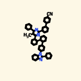 Cc1c(-c2ccccc2)nc(-c2cccc(-c3ccc(C#N)cc3)c2)nc1-c1ccccc1-c1ccccc1-c1ccc(-n2c(-c3ccccc3)nc3ccccc32)cc1